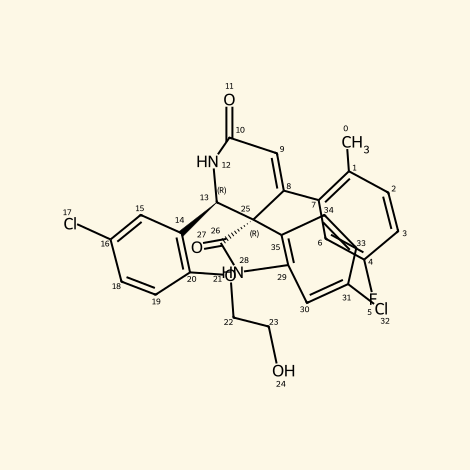 Cc1ccc(F)cc1C1=CC(=O)N[C@H](c2cc(Cl)ccc2OCCO)[C@@]12C(=O)Nc1cc(Cl)ccc12